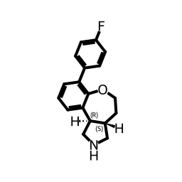 Fc1ccc(-c2cccc3c2OCC[C@@H]2CNC[C@@H]32)cc1